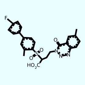 Cc1ccc2nnn(CCC(C(=O)O)S(=O)(=O)c3ccc(-c4ccc(F)cc4)cc3C)c(=O)c2c1